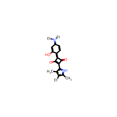 CCc1c(C)[nH]c(C2=C([O-])/C(=C3/C=CC(=[N+](CC)CC)C=C3O)C2=O)c1C